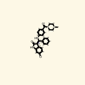 CN1CCN(C(=O)c2ccc(N/C(=C3\C(=O)Nc4cc(Cl)ccc43)c3ccccc3)cc2)CC1